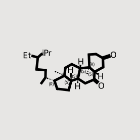 CCC(CCC(C)[C@H]1CC[C@H]2[C@@H]3CC(=O)[C@H]4CC(=O)CC[C@]4(C)[C@H]3CC[C@]12C)C(C)C